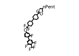 CCCCCC1COC(C2CCC(C3CCC(C(F)(F)Oc4ccc(-c5cc(F)c(C(F)F)c(F)c5)c(F)c4)CC3)CC2)OC1